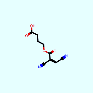 N#CC=C(C#N)C(=O)OCCCC(=O)O